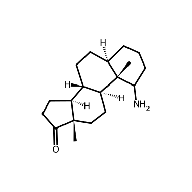 C[C@]12C(N)CCC[C@@H]1CC[C@@H]1[C@@H]2CC[C@]2(C)C(=O)CC[C@@H]12